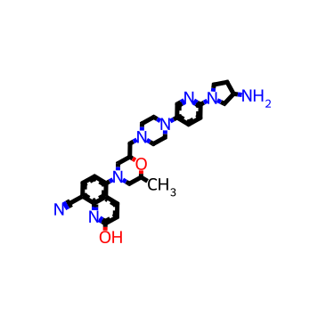 CC1CN(c2ccc(C#N)c3nc(O)ccc23)CC(CN2CCN(c3ccc(N4CCC(N)C4)nc3)CC2)O1